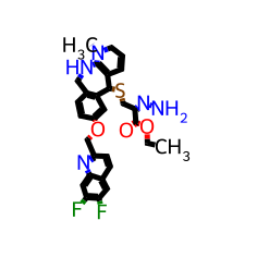 CCOC(=O)C(CSC1C2=C(NCc3ccc(OCc4ccc5cc(F)c(F)cc5n4)cc31)N(C)CC=C2)=NN